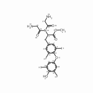 COC(=O)C(Cc1cc(I)c(Oc2cc(I)c(O)c(I)c2)c(I)c1)N(C(=O)CN)C(=O)CN